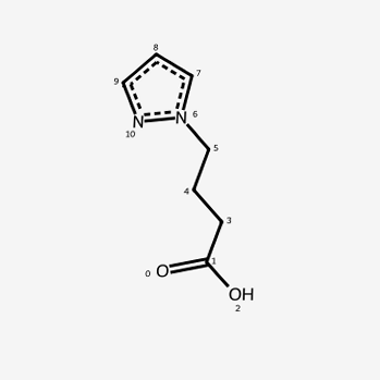 O=C(O)CCCn1cc[c]n1